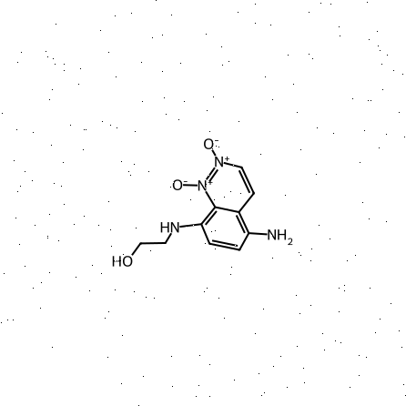 Nc1ccc(NCCO)c2c1cc[n+]([O-])[n+]2[O-]